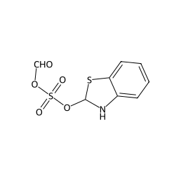 O=COS(=O)(=O)OC1Nc2ccccc2S1